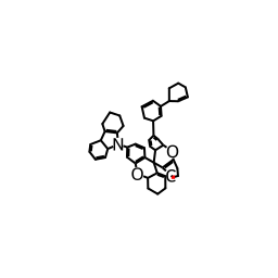 C1=CC2C3=C(CCCC3)N(c3ccc4c(c3)OC3CCCC=C3C43C4=C(CCCC4)OC4C=C(C5C=C(C6C=CCCC6)C=CC5)C=CC43)C2C=C1